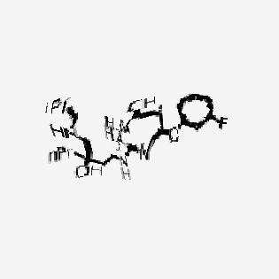 C=C(/N=C(\C=C(\C)N)Oc1cccc(F)c1)NCCC(O)(CCC)CNCC(C)C